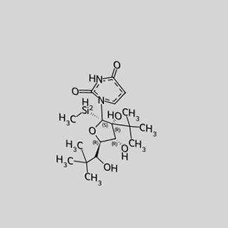 C[SiH2][C@@]1(n2ccc(=O)[nH]c2=O)O[C@H](C(O)C(C)(C)C)[C@@H](O)[C@]1(O)C(C)(C)C